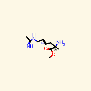 COC(=O)[C@@](C)(N)C/C=C/CNC(C)=N